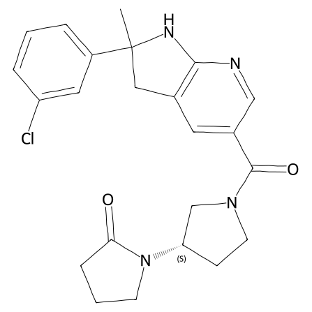 CC1(c2cccc(Cl)c2)Cc2cc(C(=O)N3CC[C@H](N4CCCC4=O)C3)cnc2N1